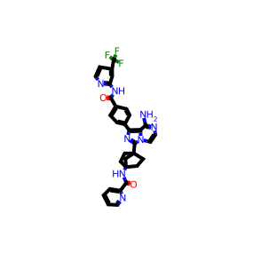 Nc1nccn2c(C34CCC(NC(=O)c5ccccn5)(CC3)C4)nc(-c3ccc(C(=O)Nc4cc(C(F)(F)F)ccn4)cc3)c12